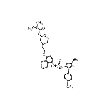 Cc1ccc(-n2nc(C(C)(C)C)cc2NC(=O)Nc2ccc(OCCN3CCOC(OC(=O)N(C)C)C3)c3ccccc23)cc1